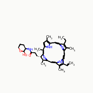 C=Cc1c(C)c2cc3nc(c(C)c4cc(C)c(cc5nc(cc1[nH]2)C(C)=C5CC)[nH]4)[C@@H](CCC(=O)NC1CCCOC1O)C3C